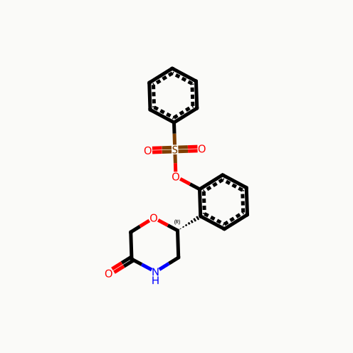 O=C1CO[C@H](c2ccccc2OS(=O)(=O)c2ccccc2)CN1